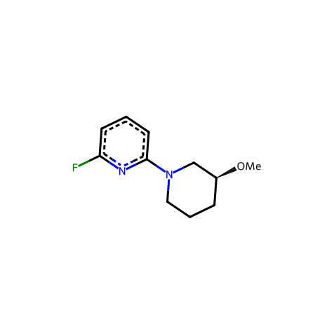 CO[C@H]1CCCN(c2cccc(F)n2)C1